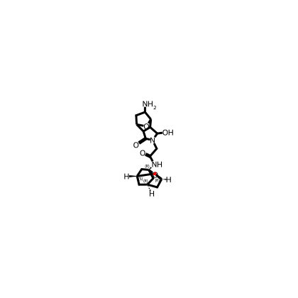 NC1CC2OC1C1C2C(=O)N(CC(=O)N[C@@]23C[C@@H]4C[C@@H](C[C@H](C4)O2)C3)C1O